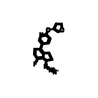 [N-]=[N+]=NC1CCc2c(-c3ccc(O[C@@H]4CCOC4)nc3)ccc(F)c21